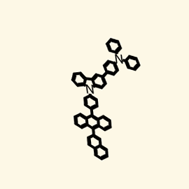 c1ccc(N(c2ccccc2)c2ccc(-c3ccc4c(c3)c3ccccc3n4-c3ccc(-c4c5ccccc5c(-c5ccc6ccccc6c5)c5ccccc45)cc3)cc2)cc1